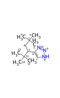 CC(C)(C)CC(c1c[nH]nn1)C(C)(C)C